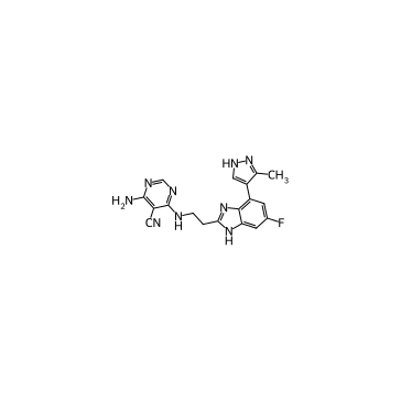 Cc1n[nH]cc1-c1cc(F)cc2[nH]c(CCNc3ncnc(N)c3C#N)nc12